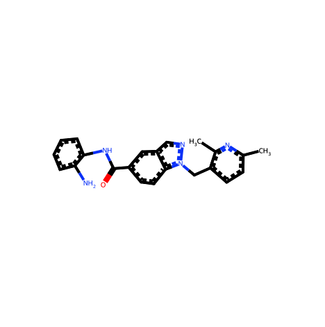 Cc1ccc(Cn2ncc3cc(C(=O)Nc4ccccc4N)ccc32)c(C)n1